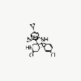 CCC1([C@H]2NC(=O)C[C@@H](C3C=C(Cl)C=CC3)[C@]23C(=O)Nc2cc(C4CC4)ccc23)CC1